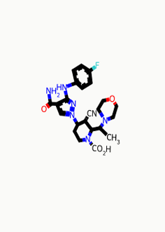 CC(C1C(C#N)C(n2cc(C(N)=O)c(Nc3ccc(F)cc3)n2)CCN1C(=O)O)N1CCOCC1